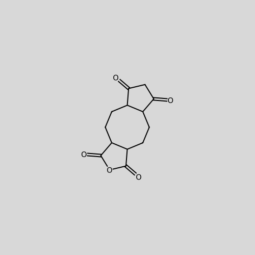 O=C1CC(=O)C2CCC3C(=O)OC(=O)C3CCC12